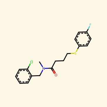 CN(Cc1ccccc1Cl)C(=O)CCCSc1ccc(F)cc1